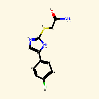 NC(=O)CSc1ncc(-c2ccc(Cl)cc2)[nH]1